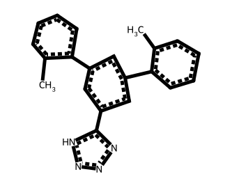 Cc1ccccc1-c1cc(-c2nnn[nH]2)cc(-c2ccccc2C)c1